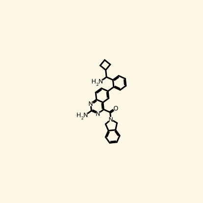 Nc1nc(C(=O)N2Cc3ccccc3C2)c2cc(-c3ccccc3C(N)C3CCC3)ccc2n1